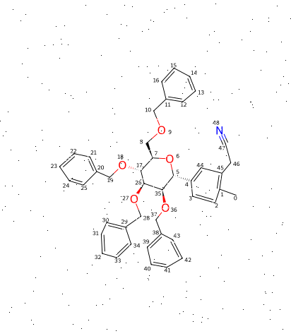 Cc1ccc([C@H]2O[C@H](COCc3ccccc3)[C@@H](OCc3ccccc3)[C@H](OCc3ccccc3)[C@@H]2OCc2ccccc2)cc1CC#N